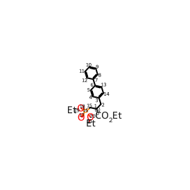 CCOC(=O)[C@H](Cc1ccc(-c2ccccc2)cc1)CP(=O)(OCC)OCC